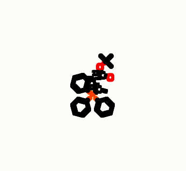 C[13C]([13CH2][13C](=O)OC(C)(C)C)=P(c1ccccc1)(c1ccccc1)c1ccccc1